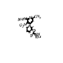 CNc1nc(C)cc(N2CCCC(OC(=O)NC(C)(C)C)C2)c1[N+](=O)[O-]